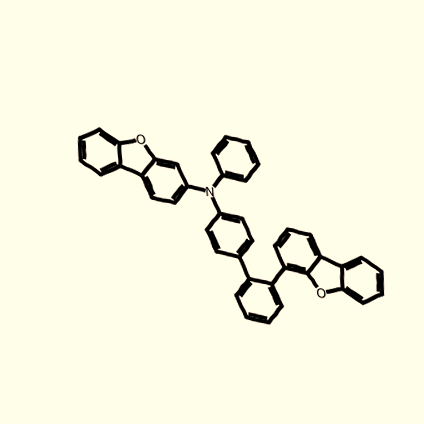 c1ccc(N(c2ccc(-c3ccccc3-c3cccc4c3oc3ccccc34)cc2)c2ccc3c(c2)oc2ccccc23)cc1